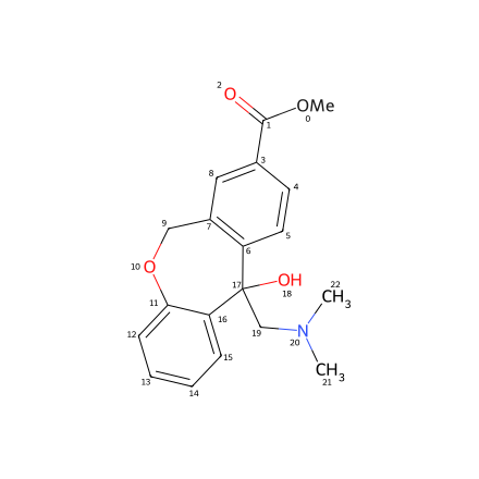 COC(=O)c1ccc2c(c1)COc1ccccc1C2(O)CN(C)C